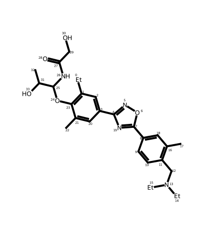 CCc1cc(-c2noc(-c3ccc(CN(CC)CC)c(C)c3)n2)cc(C)c1OC(NC(=O)CO)C(C)O